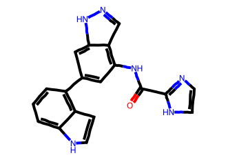 O=C(Nc1cc(-c2cccc3[nH]ccc23)cc2[nH]ncc12)c1ncc[nH]1